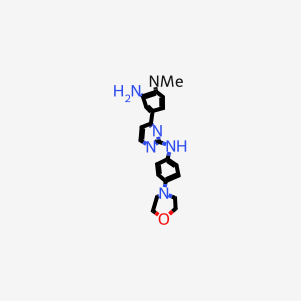 CNc1ccc(-c2ccnc(Nc3ccc(N4CCOCC4)cc3)n2)cc1N